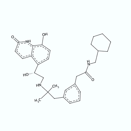 CC(C)(Cc1cccc(CC(=O)NCC2CCCCC2)c1)NC[C@H](O)c1ccc(O)c2[nH]c(=O)ccc12